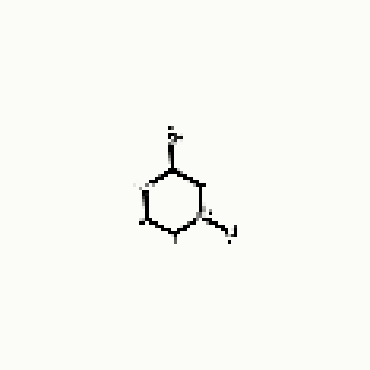 SC1CN(Cl)CCO1